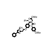 COC(=O)CN(C(=O)Oc1ccc(OC)cc1)[C@@H](CC(C)C)c1ccc(OCCc2nc(-c3ccccc3)cn2C)cc1